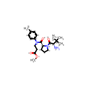 COC(=O)CCN(C(=O)[C@@H]1CCCN1C(=O)[C@@H](N)C(C)(C)C)c1ccc(C)cc1